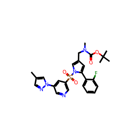 Cc1cnn(-c2cncc(S(=O)(=O)n3cc(CN(C)C(=O)OC(C)(C)C)cc3-c3ccccc3F)c2)c1